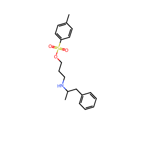 Cc1ccc(S(=O)(=O)OCCCNC(C)Cc2ccccc2)cc1